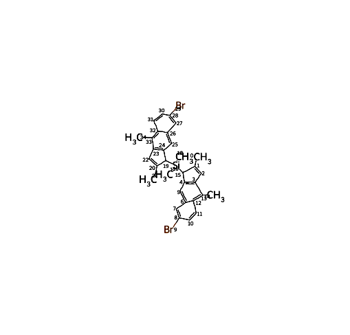 CC1=Cc2c(cc3cc(Br)ccc3c2C)C1[Si](C)(C)C1C(C)=Cc2c1cc1cc(Br)ccc1c2C